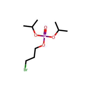 CC(C)OP(=O)(OCCCBr)OC(C)C